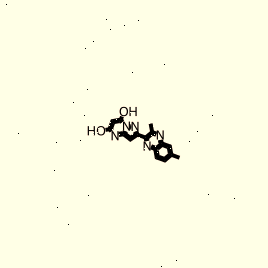 Cc1ccc2nc(-c3cc4nc(O)cc(O)n4n3)c(C)nc2c1